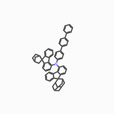 c1ccc(-c2ccc(-c3ccc(N(c4cccc5c4-c4ccccc4C54CC5CCC4C5)c4cccc5c4-c4ccccc4C54C5CC6CC(C5)CC4C6)cc3)cc2)cc1